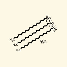 CCCCCCCCCCCCCCCCCCP(=O)([O-])[O-].CCCCCCCCCCCCCCCCCCP(=O)([O-])[O-].CCCCCCCCCCCCCCCCCCP(=O)([O-])[O-].[Fe+3].[Fe+3]